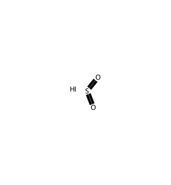 I.O=S=O